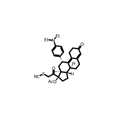 CCN(CC)c1ccc([C@H]2C[C@@]3(C)[C@@H](CC[C@]3(OC(C)=O)C(=O)CSC#N)[C@@H]3CCC4=CC(=O)CCC4=C32)cc1